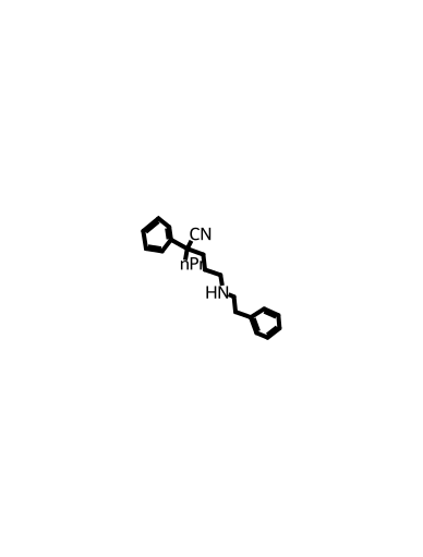 CCCC(C#N)(CCCNCCc1ccccc1)c1ccccc1